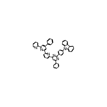 c1ccc(-c2cc(-c3ccccn3)nc(-c3cccc(-c4cc(-c5ccccc5)nc(-c5ccc(-n6c7ccccc7c7ccccc76)cc5)n4)n3)c2)cc1